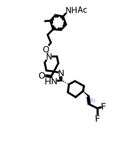 CC(=O)Nc1ccc(CCON2CCC3(CC2)N=C([C@H]2CC[C@H](/C=C/C(F)F)CC2)NC3=O)c(C)c1